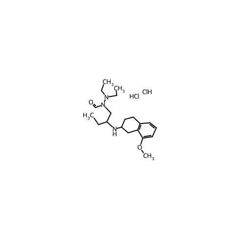 CCC(CN(C=O)N(CC)CC)NC1CCc2cccc(OC)c2C1.Cl.Cl